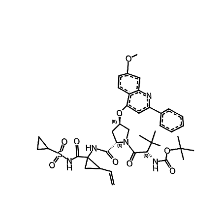 C=CC1CC1(NC(=O)[C@@H]1C[C@@H](Oc2cc(-c3ccccc3)nc3cc(OC)ccc23)CN1C(=O)[C@@H](NC(=O)OC(C)(C)C)C(C)(C)C)C(=O)NS(=O)(=O)C1CC1